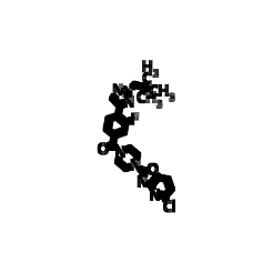 CC(C)(C)Cn1ncc(-c2ccc(C(=O)N3CCN(c4nc5nc(Cl)ccc5o4)CC3)cc2F)n1